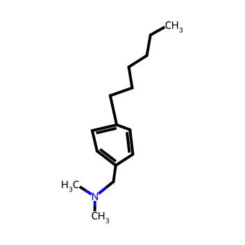 CCCCCCc1ccc(CN(C)C)cc1